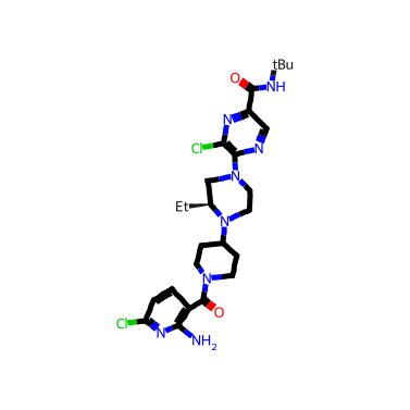 CC[C@H]1CN(c2ncc(C(=O)NC(C)(C)C)nc2Cl)CCN1C1CCN(C(=O)c2ccc(Cl)nc2N)CC1